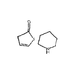 C1CCNCC1.O=C1CC=CS1